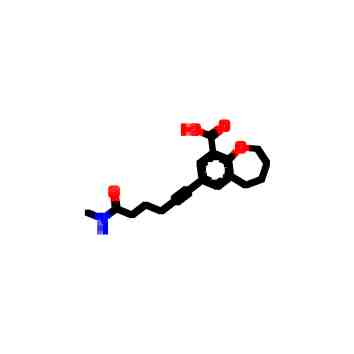 CNC(=O)CCCC#Cc1cc2c(c(C(=O)O)c1)OCCCC2